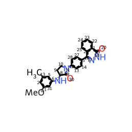 COc1cc(C)cc(NC2CCN(c3ccc(-c4n[nH]c(=O)c5ccccc45)cc3)C2=O)c1